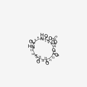 CC(=O)O[C@H]1C(=O)NCCC(=O)NCCSC(=O)CC(=O)CCC(=O)OCC1(C)C